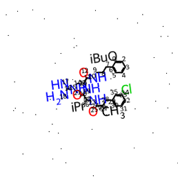 CC(C)COc1ccccc1CCCNC(=O)[C@H](CNC(=N)N)NC(=O)[C@H](NC(=O)[C@H](C)Cc1cccc(Cl)c1)C(C)C